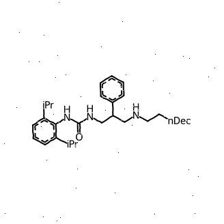 CCCCCCCCCCCCNCC(CNC(=O)Nc1c(C(C)C)cccc1C(C)C)c1ccccc1